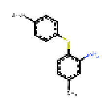 CC(=O)Nc1ccc(Sc2ccc(C)cc2N)cc1